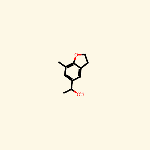 Cc1cc(C(C)O)cc2c1OCC2